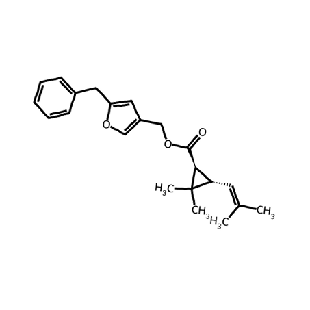 CC(C)=C[C@H]1[C@H](C(=O)OCc2coc(Cc3ccccc3)c2)C1(C)C